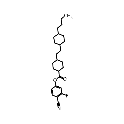 CCCCC1CCC(CCC2CCC(C(=O)Oc3ccc(C#N)c(F)c3)CC2)CC1